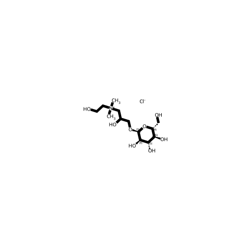 C[N+](C)(CCO)CC(O)CO[C@H]1O[C@H](CO)[C@@H](O)[C@H](O)[C@H]1O.[Cl-]